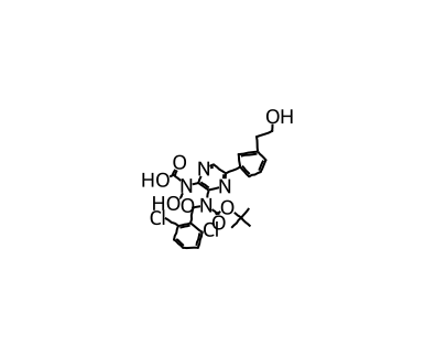 CC(C)(C)OC(=O)N(Cc1c(Cl)cccc1Cl)c1nc(-c2cccc(CCO)c2)cnc1N(C(=O)O)C(=O)O